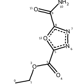 CCOC(=O)c1nnc(C(N)=O)o1